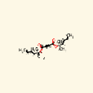 CCCC[Si](C)(C)OC(=O)C#CC(=O)O[Si](C)(C)CCCC